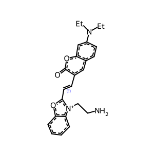 CCN(CC)c1ccc2cc(/C=C/c3oc4ccccc4[n+]3CCN)c(=O)oc2c1